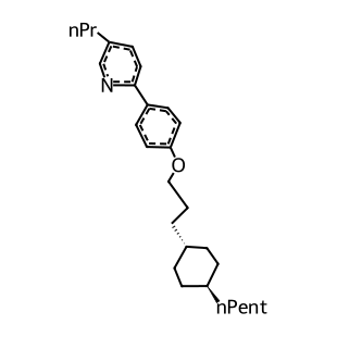 CCCCC[C@H]1CC[C@H](CCCOc2ccc(-c3ccc(CCC)cn3)cc2)CC1